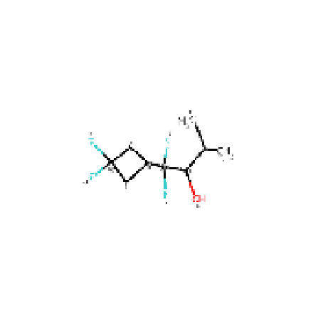 CC(C)C(O)C(F)(F)C1CC(F)(F)C1